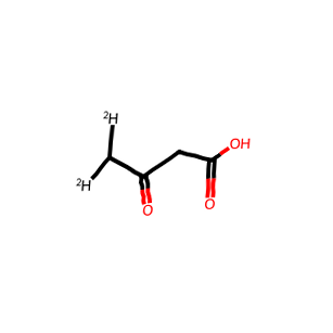 [2H]C([2H])C(=O)CC(=O)O